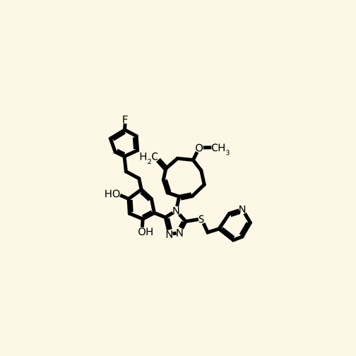 C=C1/C=C\C(n2c(SCc3cccnc3)nnc2-c2cc(CCc3ccc(F)cc3)c(O)cc2O)=C/CCC(OC)C1